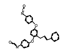 O=C=Nc1ccc(Oc2ccc(Oc3ccc(N=C=O)cc3)c(CC=Cc3ccccc3)c2)cc1